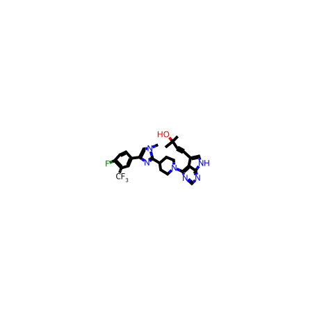 Cn1cc(-c2ccc(F)c(C(F)(F)F)c2)nc1C1CCN(c2ncnc3[nH]cc(C#CC(C)(C)O)c23)CC1